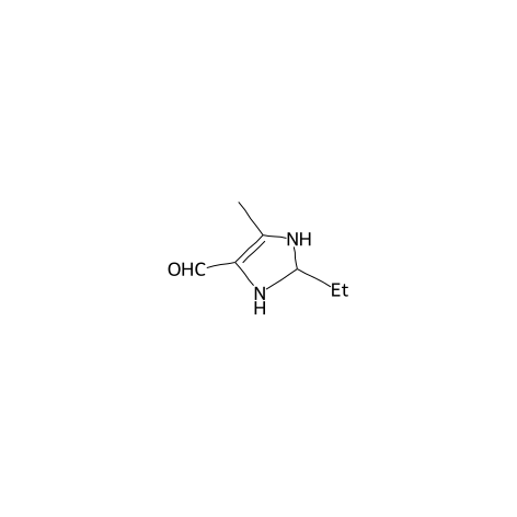 CCC1NC(C)=C(C=O)N1